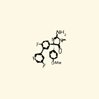 COc1ccc([C@]2(c3ccc(F)c(-c4cncc(F)c4)c3)N=C(N)N(C)C2=O)cc1